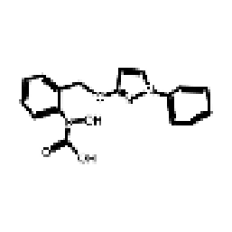 O=C(O)N(O)c1ccccc1COc1ccn(-c2ccccc2)n1